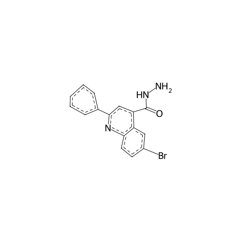 NNC(=O)c1cc(-c2ccccc2)nc2ccc(Br)cc12